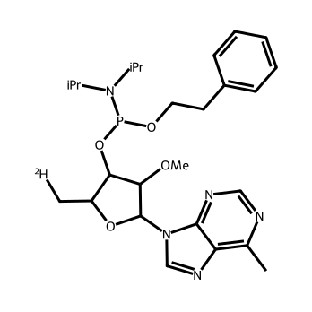 [2H]CC1OC(n2cnc3c(C)ncnc32)C(OC)C1OP(OCCc1ccccc1)N(C(C)C)C(C)C